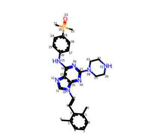 Cc1cccc(C)c1C=Cn1cnc2c(Nc3ccc(P(C)(C)=O)cc3)nc(N3CCNCC3)nc21